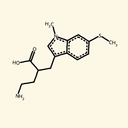 CSc1ccc2c(CC(CCN)C(=O)O)cn(C)c2c1